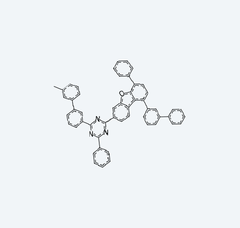 Cc1cccc(-c2cccc(-c3nc(-c4ccccc4)nc(-c4ccc5c(c4)oc4c(-c6ccccc6)ccc(-c6cccc(-c7ccccc7)c6)c45)n3)c2)c1